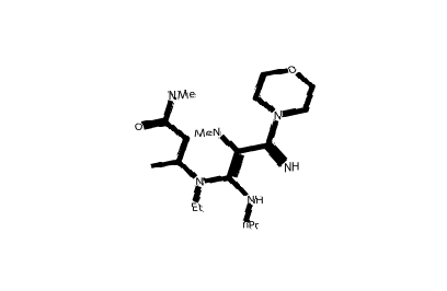 CCCN/C(=C(/NC)C(=N)N1CCOCC1)N(CC)C(C)CC(=O)NC